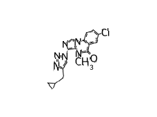 Cn1c(=O)c2cc(Cl)ccc2n2cnc(-n3cc(CC4CC4)nn3)c12